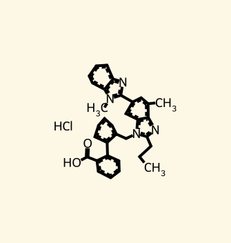 CCCc1nc2c(C)cc(-c3nc4ccccc4n3C)cc2n1Cc1ccccc1-c1ccccc1C(=O)O.Cl